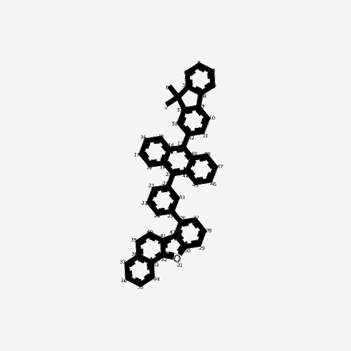 CC1(C)c2ccccc2-c2ccc(-c3c4ccccc4c(-c4cccc(-c5cccc6oc7c8ccccc8ccc7c56)c4)c4ccccc34)cc21